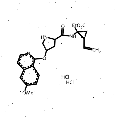 C=CC1CC1(NC(=O)C1CC(Oc2nccc3cc(OC)ccc23)CN1)C(=O)OCC.Cl.Cl